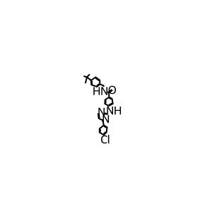 CC(C)(C)c1ccc(CNC(=O)c2ccc(Nc3nccc(-c4ccc(Cl)cc4)n3)cc2)cc1